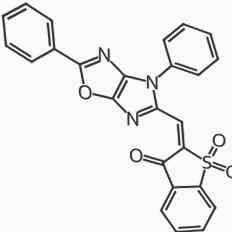 O=C1/C(=C\c2nc3oc(-c4ccccc4)nc3n2-c2ccccc2)S(=O)(=O)c2ccccc21